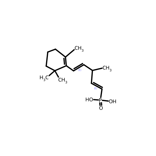 CC1=C(/C=C/C(C)/C=C/P(=O)(O)O)C(C)(C)CCC1